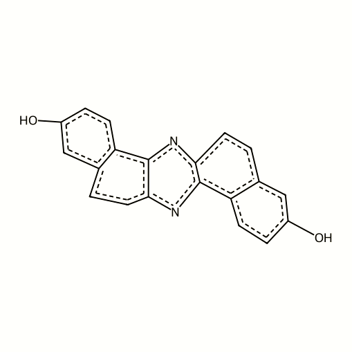 Oc1ccc2c(ccc3nc4c(ccc5cc(O)ccc54)nc32)c1